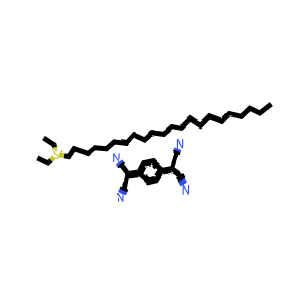 CCCCCCCCCCCCCCCCCCCCCC[S+](CC)CC.N#CC(C#N)=c1ccc(=C(C#N)C#N)cc1